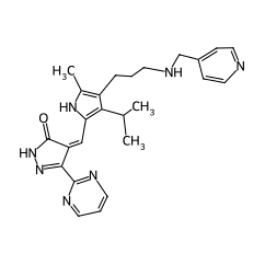 Cc1[nH]c(C=C2C(=O)NN=C2c2ncccn2)c(C(C)C)c1CCCNCc1ccncc1